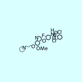 COc1cc2c(Oc3ccc(NS(=O)(=O)c4c(Cl)cccc4Cl)cc3F)ccnc2cc1OCCCN1CCCCC1